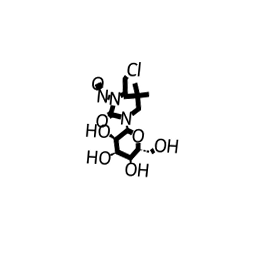 CC(C)(C)CN(C(=O)N(CCCl)N=O)[C@@H]1O[C@H](CO)[C@H](O)[C@H](O)[C@H]1O